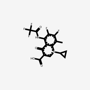 Cc1c(F)c(F)c(NC(=O)C(F)(F)F)c2c(=O)c(C(=O)O)cn(C3CC3)c12